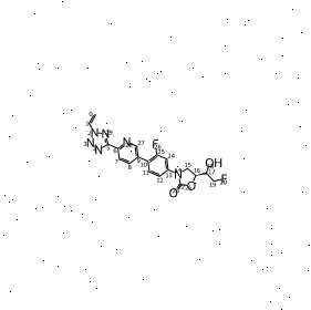 C=Cn1nnc(-c2ccc(-c3ccc(N4C[C@@H](C(O)CF)OC4=O)cc3F)cn2)n1